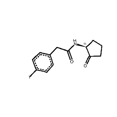 O=C(Cc1ccc(I)cc1)N[C@H]1CCCC1=O